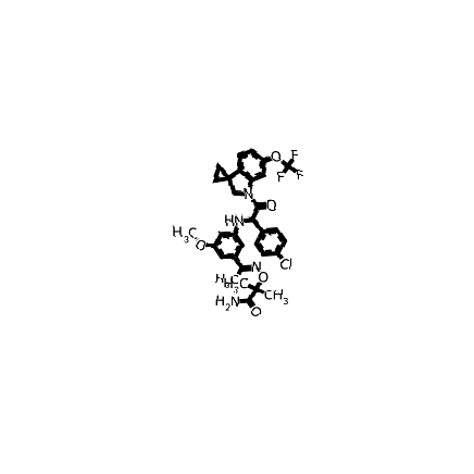 COc1cc(NC(C(=O)N2CC3(CC3)c3ccc(OC(F)(F)F)cc32)c2ccc(Cl)cc2)cc(C(C)=NOC(C)(C)C(N)=O)c1